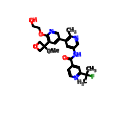 COC1(c2cc(-c3cc(NC(=O)c4ccnc(C(C)(C)F)c4)cnc3C)cnc2OCCO)COC1